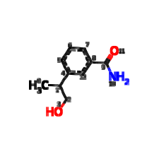 C[C](CO)c1cccc(C(N)=O)c1